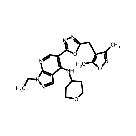 CCn1ncc2c(NC3CCOCC3)c(-c3nnc(Cc4c(C)noc4C)o3)cnc21